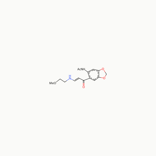 COCCNC=CC(=O)c1cc2c(cc1NC(C)=O)OCO2